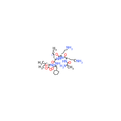 C/C=C/C[C@H](NC(=O)[C@H](CCCCN)NC(=O)[C@H](CCCCN)NC(=O)[C@H](C)N)C(=O)N[C@@H](CC1CCCCC1)C(=O)N[C@@H](CC(C)C)C(=O)O